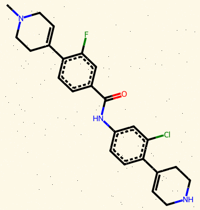 CN1CC=C(c2ccc(C(=O)Nc3ccc(C4=CCNCC4)c(Cl)c3)cc2F)CC1